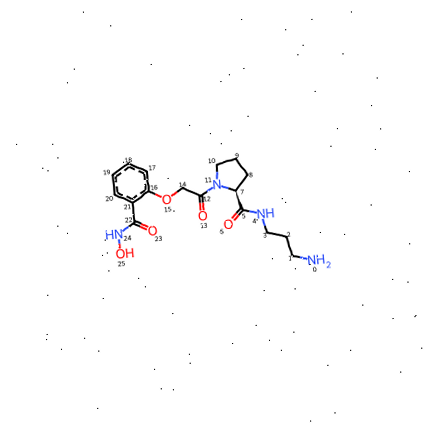 NCCCNC(=O)[C@@H]1CCCN1C(=O)COc1ccccc1C(=O)NO